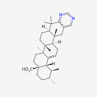 C[C@H]1[C@H](C)CC[C@]2(C(=O)O)CC[C@]3(C)C(=CC[C@@H]4[C@@]5(C)Cc6cncnc6C(C)(C)[C@@H]5CC[C@]43C)[C@H]12